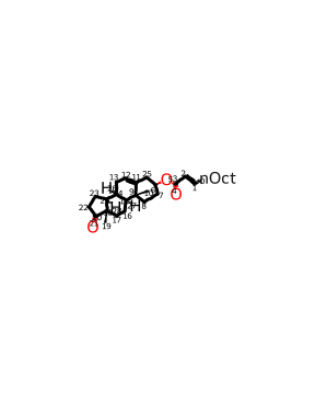 CCCCCCCCC=CC(=O)O[C@H]1CC[C@@]2(C)C(=CC[C@@H]3[C@@H]2CC[C@]2(C)C(=O)CC[C@@H]32)C1